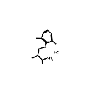 Cc1cccc(C)c1OCC(C)C(C)N.Cl